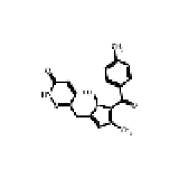 Cc1ccc(C(=O)c2c(C)cc(Cc3ccc(=O)[nH]n3)n2C)cc1